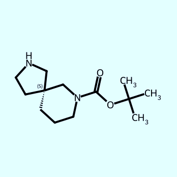 CC(C)(C)OC(=O)N1CCC[C@@]2(CCNC2)C1